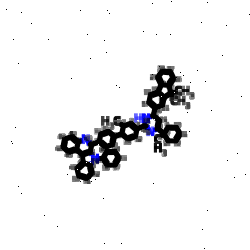 CC1C=C(C2=NC(C3(C)C=CC=CC3)=CC(c3ccc4c(c3)C(C)(C)c3ccccc3-4)N2)C=CC1c1ccc(-c2nc3ccccc3c3c4ccccc4n(-c4ccccc4)c23)cc1